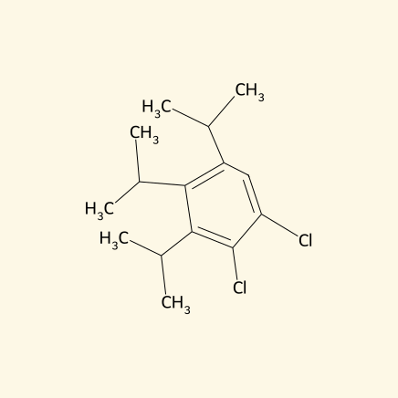 CC(C)c1cc(Cl)c(Cl)c(C(C)C)c1C(C)C